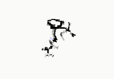 NC(=O)N/N=C/c1ccccc1C(F)(F)F